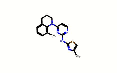 Cc1csc(Nc2nccc(N3CCCc4cccc(C)c43)n2)n1